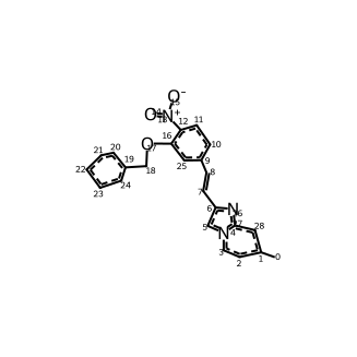 Cc1ccn2cc(C=Cc3ccc([N+](=O)[O-])c(OCc4ccccc4)c3)nc2c1